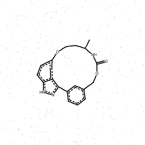 CC1CCOc2ccc3[nH]nc(c3c2)-c2cccc(c2)COC(=O)N1